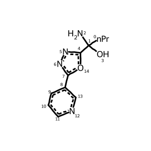 CCCC(N)(O)c1nnc(-c2cccnc2)o1